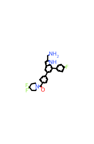 NCc1cc2cc(-c3ccc(C(=O)N4CCC(F)(F)CC4)cc3)cc(-c3ccc(F)cc3)c2[nH]1